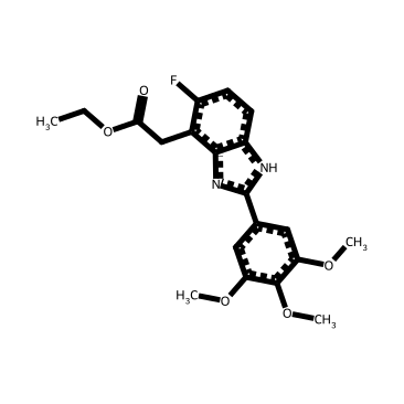 CCOC(=O)Cc1c(F)ccc2[nH]c(-c3cc(OC)c(OC)c(OC)c3)nc12